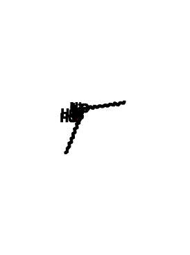 CCCCCCCCCCCCCCCCOC(CSCCCCCCCCCCCCCCCC)CC(C[N+](C)(C)C)OP(=O)(O)O